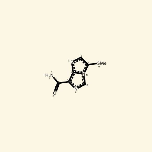 CSc1csc2c(C(N)=O)ncn12